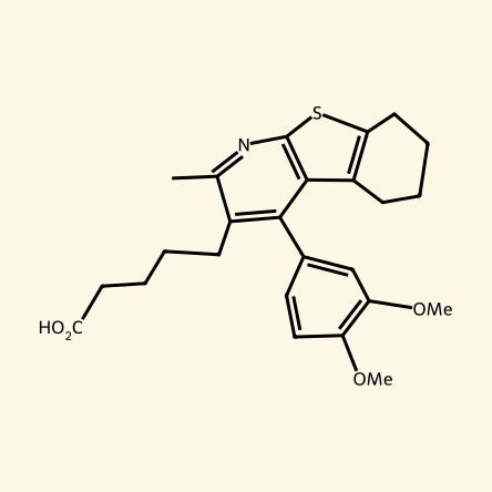 COc1ccc(-c2c(CCCCC(=O)O)c(C)nc3sc4c(c23)CCCC4)cc1OC